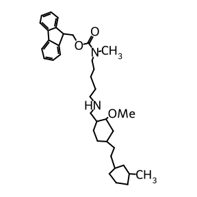 COC1CC(CCC2CCCC(C)C2)CCC1CNCCCCCN(C)C(=O)OCC1c2ccccc2-c2ccccc21